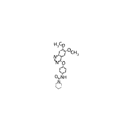 COc1cc2ncnc(Oc3ccc(NC(=O)N4CCCCC4)cc3)c2cc1OC